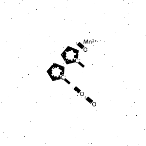 C[c-]1cccc1.C[c-]1cccc1.[C]=O.[C]=O.[C]=O.[Mn+2]